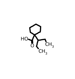 CCC(CC)C1(C(=O)O)CCCCC1